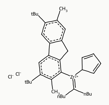 CCCC[C](CCCC)=[Zr+2]([c]1c(C)c(C(C)(C)C)cc2c1Cc1cc(C)c(C(C)(C)C)cc1-2)[CH]1C=CC=C1.[Cl-].[Cl-]